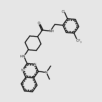 CN(C)c1nc(NC2CCC(C(=O)NCc3cc(C(F)(F)F)ccc3Cl)CC2)nc2ccccc12